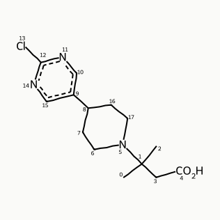 CC(C)(CC(=O)O)N1CCC(c2cnc(Cl)nc2)CC1